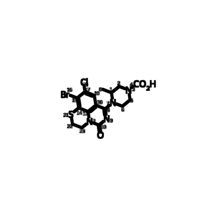 CC1CN(C(=O)O)CCN1c1nc(=O)n2c3c(c(Br)c(Cl)cc13)SCC2